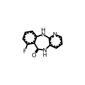 O=C1Nc2cccnc2Nc2cccc(F)c21